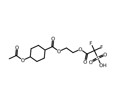 CC(=O)OC1CCC(C(=O)OCCOC(=O)C(F)(F)S(=O)(=O)O)CC1